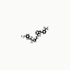 CN(C)C(=O)c1cccc(-c2cc3ncnc(NCCc4cnc(NC(=O)Nc5cccc(C(F)(F)F)c5)s4)c3s2)c1